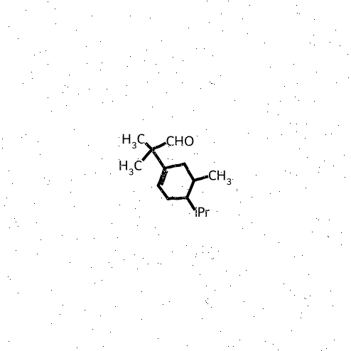 CC(C)C1CC=C(C(C)(C)C=O)CC1C